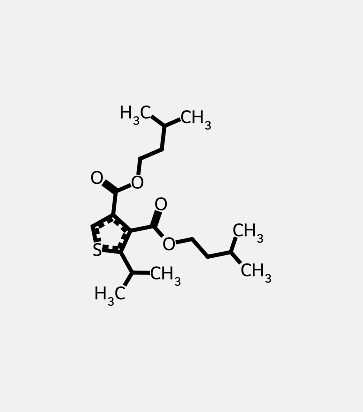 CC(C)CCOC(=O)c1csc(C(C)C)c1C(=O)OCCC(C)C